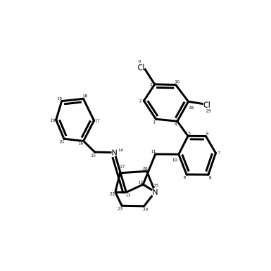 Clc1ccc(-c2ccccc2CC2C(=NCc3ccccc3)C3CCN2CC3)c(Cl)c1